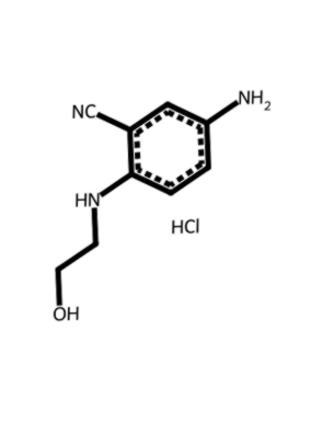 Cl.N#Cc1cc(N)ccc1NCCO